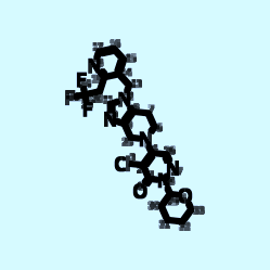 O=c1c(Cl)c(N2CCc3c(ncn3Cc3cccnc3CC(F)(F)F)C2)cnn1C1CCCCO1